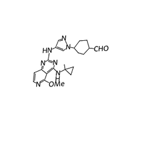 COc1nccc2nc(Nc3cnn(C4CCC(C=O)CC4)c3)nc(NC3(C)CC3)c12